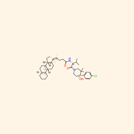 CC(C)[C@@H](NC(=O)CC[C@@H](C)[C@H]1CC[C@H]2[C@@H]3CC[C@@H]4CCCC[C@]4(C)[C@H]3CC[C@]12C)C(=O)N1CC[C@](O)(c2ccc(Cl)cc2)C(C)(C)C1